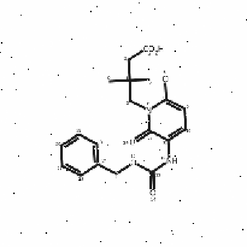 CC(C)(CC(=O)O)Cn1c(Cl)ccc(NC(=O)OCc2ccccc2)c1=O